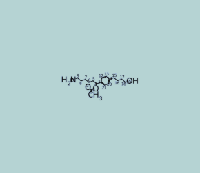 CC(=O)OC(CCCCCN)c1ccc(CCCCO)cc1